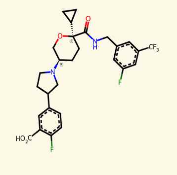 O=C(O)c1cc(C2CCN([C@@H]3CC[C@@](C(=O)NCc4cc(F)cc(C(F)(F)F)c4)(C4CC4)OC3)C2)ccc1F